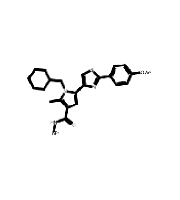 CCCNC(=O)c1cc(-c2csc(-c3ccc(OC)cc3)n2)n(CC2CCCCC2)c1C